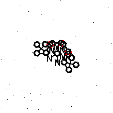 N#Cc1c(C#N)c(-n2c3ccccc3c3c4c(ccc32)-c2ccccc2C4(c2ccccc2)c2ccccc2)c(-n2c3ccccc3c3ccccc32)c(-n2c3ccccc3c3ccccc32)c1-n1c2ccccc2c2c3c(ccc21)-c1ccccc1C3(c1ccccc1)c1ccccc1